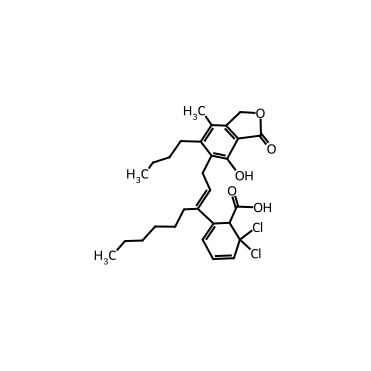 CCCCCC/C(=C\Cc1c(O)c2c(c(C)c1CCCC)COC2=O)C1=CC=CC(Cl)(Cl)C1C(=O)O